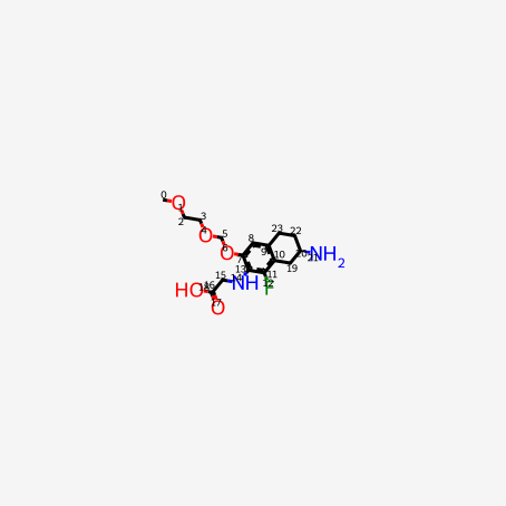 COCCOCOc1cc2c(c(F)c1NCC(=O)O)C[C@H](N)CC2